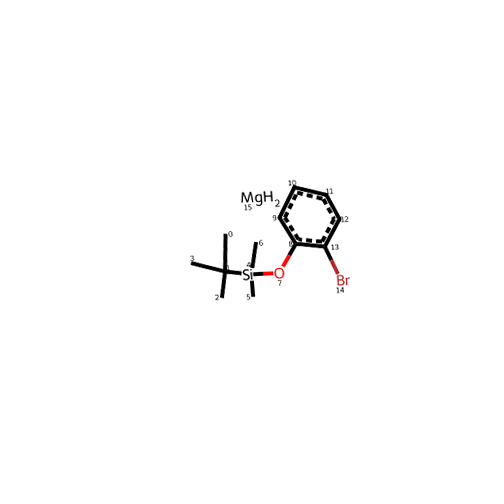 CC(C)(C)[Si](C)(C)Oc1ccccc1Br.[MgH2]